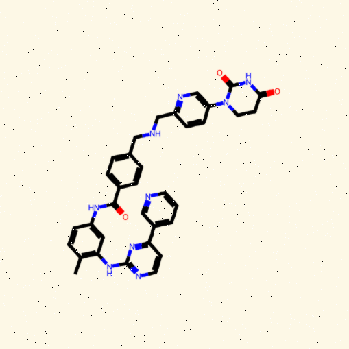 Cc1ccc(NC(=O)c2ccc(CNCc3ccc(N4CCC(=O)NC4=O)cn3)cc2)cc1Nc1nccc(-c2cccnc2)n1